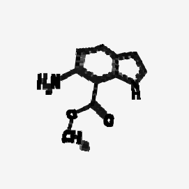 COC(=O)c1c(N)ccc2cc[nH]c12